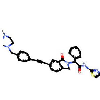 CCN1CCN(Cc2ccc(C#Cc3ccc4c(c3)C(=O)N(C(C(=O)Nc3nccs3)c3ccccc3)C4)cc2)CC1